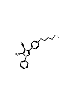 COCCOc1ccc(-c2cn(-c3ccccc3)c(N)c2C#N)cc1